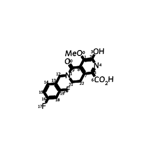 COc1c(O)nc(C(=O)O)c2c1C(=O)N(Cc1ccc(F)cc1F)CC2